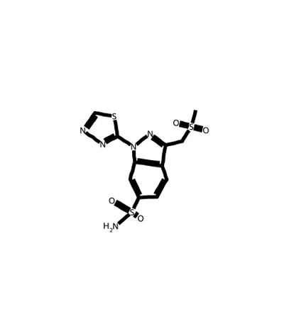 CS(=O)(=O)Cc1nn(-c2nncs2)c2cc(S(N)(=O)=O)ccc12